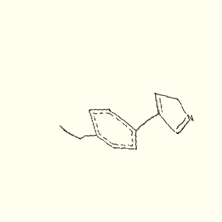 CCc1ccc(C2=CCN=C2)cc1